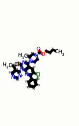 CCCCOC(=O)N1CCN(c2nc(=O)n(-c3ncncc3C(C)C)c3nc(-c4ccccc4F)c(Cl)cc23)C(C)C1